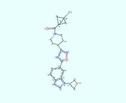 O=C(N1CCC(c2noc(-c3ccc4cnn(C5COC5)c4c3)n2)CC1)C12CC(F)(C1)C2